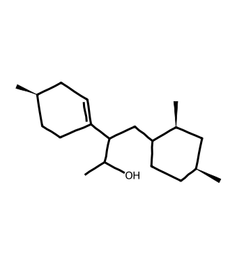 CC(O)C(CC1CC[C@H](C)C[C@@H]1C)C1=CC[C@H](C)CC1